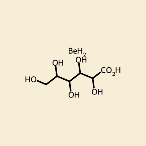 O=C(O)C(O)C(O)C(O)C(O)CO.[BeH2]